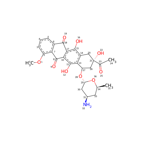 COc1cccc2c1C(=O)c1c(O)c3c(c(O)c1C2=O)C[C@@](O)(C(C)=O)CC3O[C@H]1C[C@H](N)C[C@H](C)O1